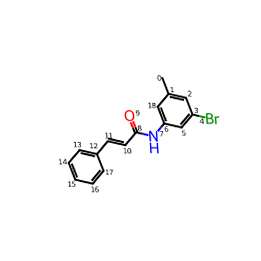 Cc1cc(Br)cc(NC(=O)C=Cc2ccccc2)c1